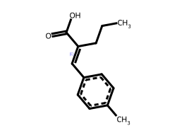 CCC/C(=C\c1ccc(C)cc1)C(=O)O